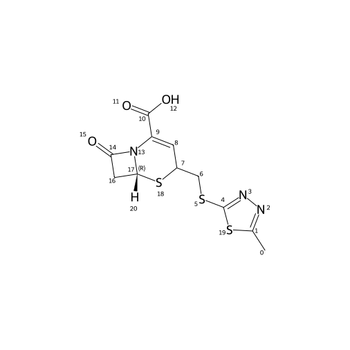 Cc1nnc(SCC2C=C(C(=O)O)N3C(=O)C[C@H]3S2)s1